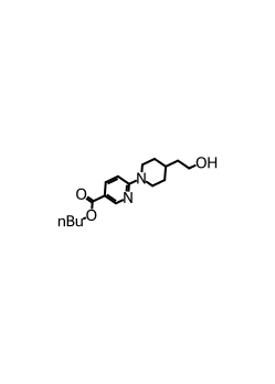 CCCCOC(=O)c1ccc(N2CCC(CCO)CC2)nc1